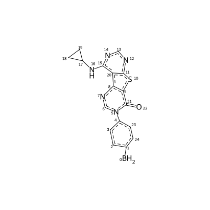 Bc1ccc(-n2cnc3c(sc4ncnc(NC5CC5)c43)c2=O)cc1